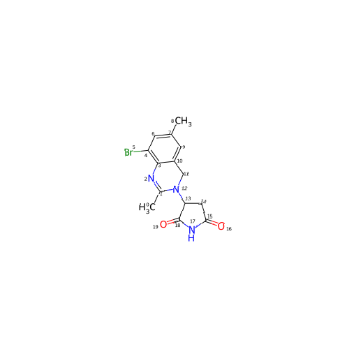 CC1=Nc2c(Br)cc(C)cc2CN1C1CC(=O)NC1=O